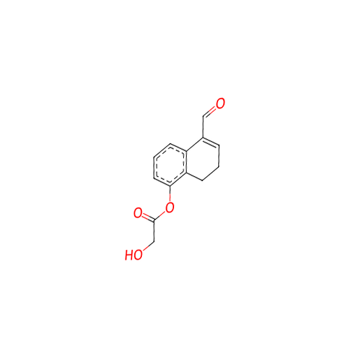 O=CC1=CCCc2c(OC(=O)CO)cccc21